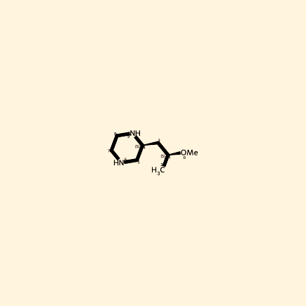 CO[C@@H](C)C[C@H]1CNCCN1